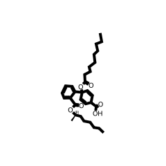 CCCCCCCCCC(=O)OC1(c2ccccc2C(=O)O[C@H](C)CCCCCC)C=CC(C(=O)O)C=C1